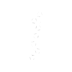 CCc1cc(-c2ccc3oc4c(-c5ccccc5C)cccc4c3c2)c(CC)cc1-c1ccc2oc3c(-c4ccccc4C)cccc3c2c1